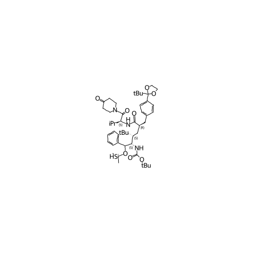 CC(C)[C@H](NC(=O)[C@@H](Cc1ccc(C2(C(C)(C)C)OCCO2)cc1)C[C@H]([C@H](NC(=O)OC(C)(C)C)C(O[SiH](C)C)c1ccccc1)C(C)(C)C)C(=O)N1CCC(=O)CC1